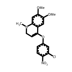 COc1cc2c(cc1OC)N(C)CC=C2Oc1ccc([N+](=O)[O-])c(Cl)c1